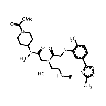 COC(=O)N1CCC(N(C)C(=O)CN(CCNC(C)C)C(=O)CNc2cc(-c3noc(C)n3)ccc2C)CC1.Cl